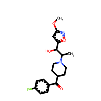 COc1cc(C(O)C(C)N2CCC(C(=O)c3ccc(F)cc3)CC2)on1